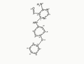 Nc1ncnc(Nc2ccc(Oc3ccccc3)cc2)c1C=O